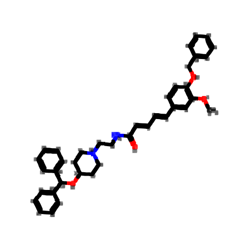 COc1cc(C=CC=CC(=O)NCCN2CCC(OC(c3ccccc3)c3ccccc3)CC2)ccc1OCc1ccccc1